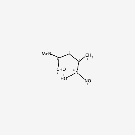 CNC(C=O)CC(C)N(O)N=O